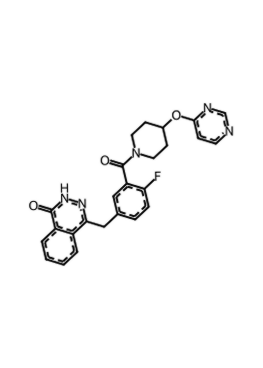 O=C(c1cc(Cc2n[nH]c(=O)c3ccccc23)ccc1F)N1CCC(Oc2ccncn2)CC1